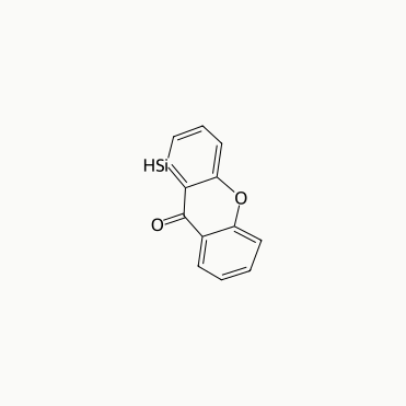 O=c1c2ccccc2oc2ccc[siH]c12